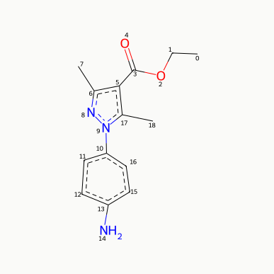 CCOC(=O)c1c(C)nn(-c2ccc(N)cc2)c1C